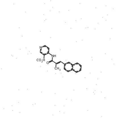 C/C(=C\c1ccc2ccccc2c1)C(=O)Nc1ccncc1C(=O)O